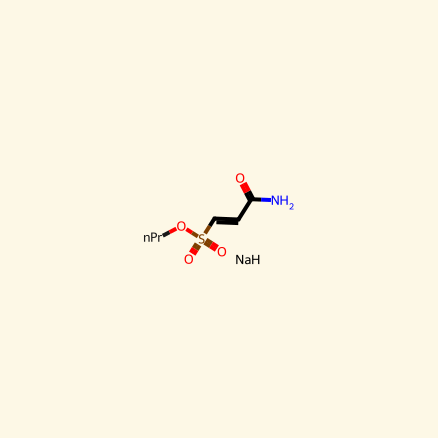 CCCOS(=O)(=O)C=CC(N)=O.[NaH]